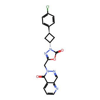 O=c1c2cccnc2cnn1Cc1nn([C@H]2C[C@H](c3ccc(Cl)cc3)C2)c(=O)o1